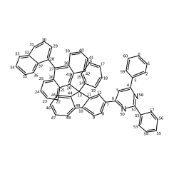 c1ccc(-c2cc(-c3ccc4c(c3)C(c3ccccc3)(c3c5ccccc5c(-c5cccc6ccccc56)c5ccccc35)c3ccccc3-4)nc(-c3ccccc3)n2)cc1